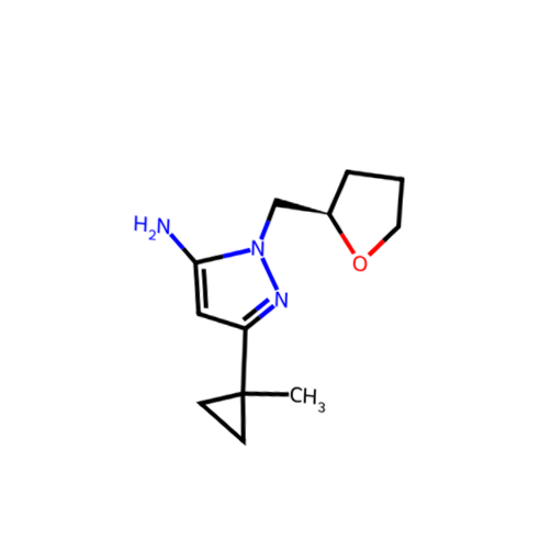 CC1(c2cc(N)n(C[C@H]3CCCO3)n2)CC1